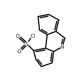 O=S(=O)(Cl)c1cccc2ncc3ccccc3c12